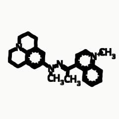 C/C(=N\N(C)c1cc2c3c(c1)CCCN3CCC2)c1cc[n+](C)c2ccccc12